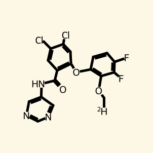 [2H]COc1c(Oc2cc(Cl)c(Cl)cc2C(=O)Nc2cncnc2)ccc(F)c1F